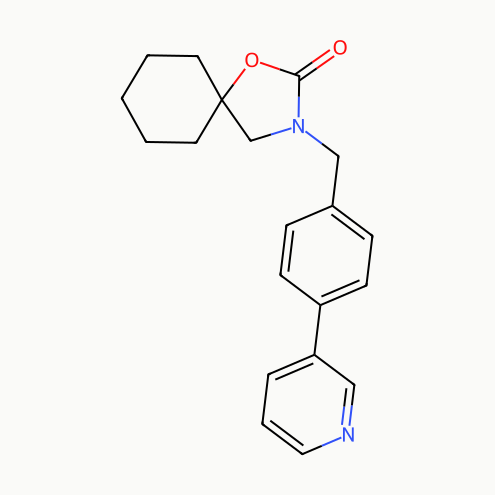 O=C1OC2(CCCCC2)CN1Cc1ccc(-c2cccnc2)cc1